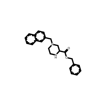 O=C(OCc1ccccc1)C1CN(Cc2ccc3ccccc3c2)CCN1